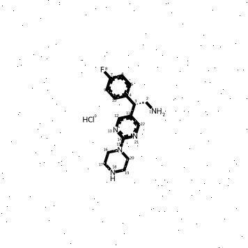 Cl.NC[C@@H](c1ccc(F)cc1)c1cnc(N2CCNCC2)nc1